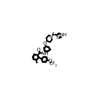 Cc1cccc(C(=O)Nc2cccc(OC3CCN(Sc4c[nH]cn4)CC3)c2)c1-c1ccc(OC(F)(F)F)cc1